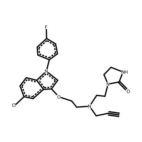 C#CCN(CCOc1cn(-c2ccc(F)cc2)c2ccc(Cl)cc12)CCN1CCNC1=O